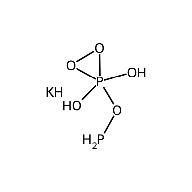 OP1(O)(OP)OO1.[KH]